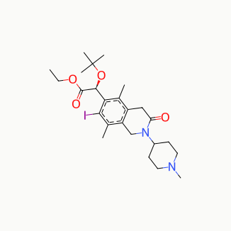 CCOC(=O)[C@@H](OC(C)(C)C)c1c(C)c2c(c(C)c1I)CN(C1CCN(C)CC1)C(=O)C2